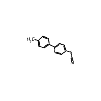 Cc1ccc(-c2ccc(SC#N)cc2)cc1